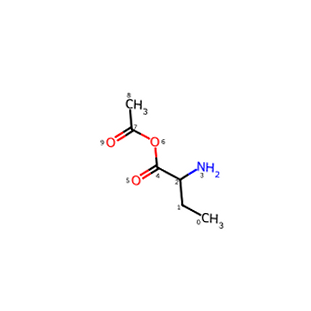 CCC(N)C(=O)OC(C)=O